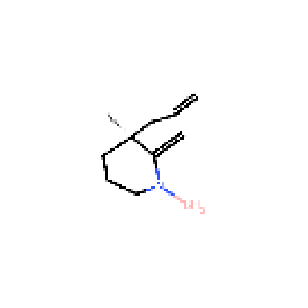 BN1CCC[C@@](C)(CC=C)C1=C